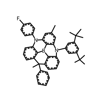 Cc1cc2c3c(c1)N(c1cc(C(C)(C)C)cc(C(C)(C)C)c1)c1cccc4c1B3c1c(cccc1C4(C)c1ccccc1)N2c1ccc(F)cc1